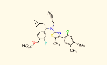 C#CCN(c1nc(-c2cc(C)c(OC)cc2Cl)c(C)s1)[C@@H](CC1CC1)c1ccc(COC(=O)O)c(F)c1